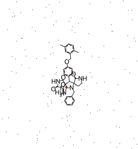 Cc1ccc(C)c(COc2ccc(C(C3(C)NC(=O)NC3=O)C3(N(Cc4ccccc4)C(N)=O)CCNC3=O)cc2)c1